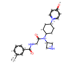 O=C(NCC(=O)N(C1CCC(n2ccc(=O)cc2)CC1)C1CNC1)c1cccc(C(F)(F)F)c1